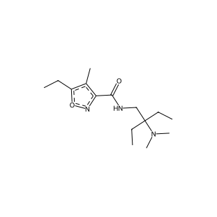 CCc1onc(C(=O)NCC(CC)(CC)N(C)C)c1C